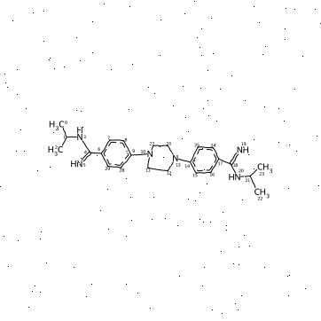 CC(C)NC(=N)c1ccc(N2CCN(c3ccc(C(=N)NC(C)C)cc3)CC2)cc1